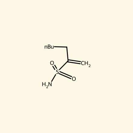 C=C(CCCCC)S(N)(=O)=O